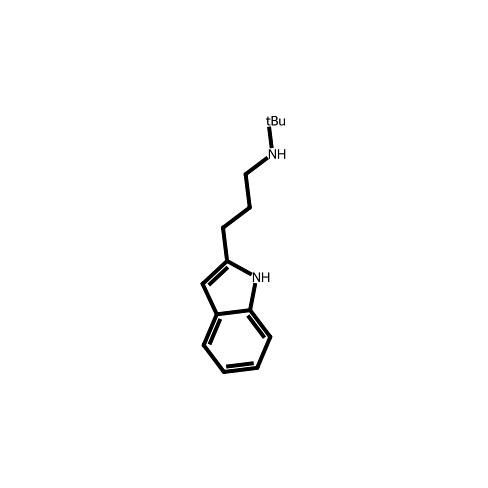 CC(C)(C)NCCCc1cc2ccccc2[nH]1